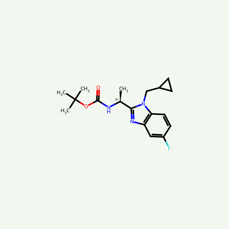 C[C@H](NC(=O)OC(C)(C)C)c1nc2cc(F)ccc2n1CC1CC1